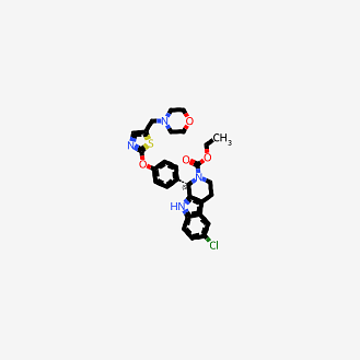 CCOC(=O)N1CCc2c([nH]c3ccc(Cl)cc23)[C@@H]1c1ccc(Oc2ncc(CN3CCOCC3)s2)cc1